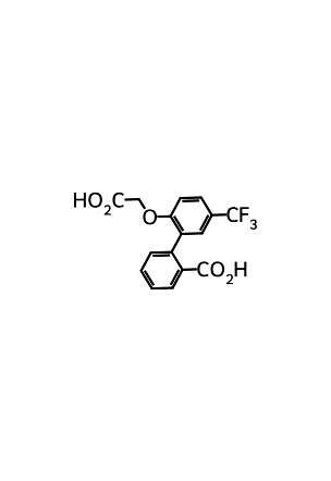 O=C(O)COc1ccc(C(F)(F)F)cc1-c1ccccc1C(=O)O